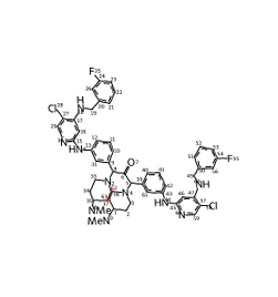 CNC1CCN(C(C(=O)C(c2cccc(Nc3cc(NCc4cccc(F)c4)c(Cl)cn3)c2)N2CCC(NC)CC2)c2cccc(Nc3cc(NCc4cccc(F)c4)c(Cl)cn3)c2)CC1